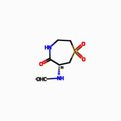 O=[C]N[C@H]1CS(=O)(=O)CCNC1=O